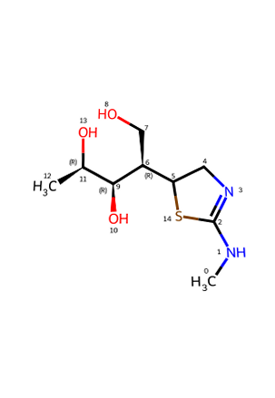 CNC1=NCC([C@H](CO)[C@@H](O)[C@@H](C)O)S1